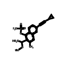 Cc1cc2cc(C#CC3CC3)ccc2c(OS(=O)(=O)C(F)(F)F)c1C(OC(C)(C)C)C(=O)O